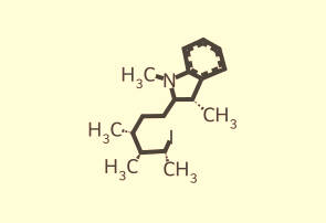 C[C@H]([C@H](C)CCC1[C@@H](C)c2ccccc2N1C)[C@@H](C)I